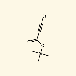 CCC#CC(=O)O[Si](C)(C)C